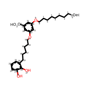 CCCCCCCCCCCCCCCCCCOc1cc(OCCCCCCc2cccc(O)c2O)cc(C(=O)O)c1